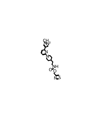 Cn1cc(-c2cccc(N3CCC(CCNC(=O)OCc4cscn4)CC3)n2)cn1